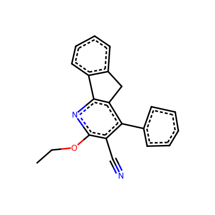 CCOc1nc2c(c(-c3ccccc3)c1C#N)Cc1ccccc1-2